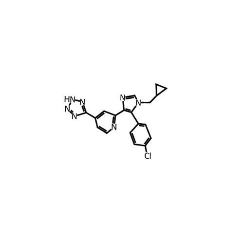 Clc1ccc(-c2c(-c3cc(-c4nn[nH]n4)ccn3)ncn2CC2CC2)cc1